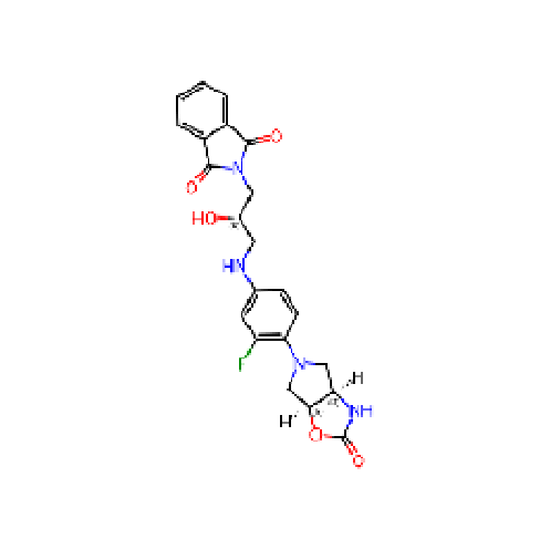 O=C1N[C@@H]2CN(c3ccc(NC[C@@H](O)CN4C(=O)c5ccccc5C4=O)cc3F)C[C@@H]2O1